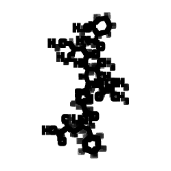 CC[C@H](C)[C@H](NC(=O)[C@H]1CCCCN1C)C(=O)N[C@H](C[C@@H](NC(=O)N(C)C)c1nc(C(=O)N[C@@H](Cc2ccccc2)C[C@H](C)C(=O)O)cs1)C(C)C